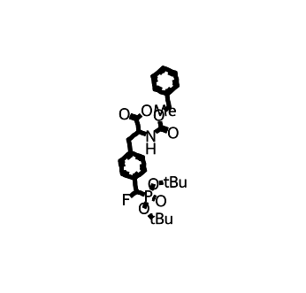 COC(=O)C(Cc1ccc(C(F)P(=O)(OC(C)(C)C)OC(C)(C)C)cc1)NC(=O)OCc1ccccc1